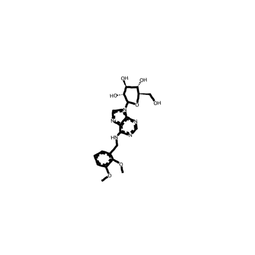 COc1cccc(CNc2ncnc3c2ncn3C2O[C@H](CO)[C@@H](O)[C@H](O)[C@H]2O)c1OC